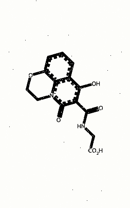 O=C(O)CNC(=O)c1c(O)c2cccc3c2n(c1=O)CCO3